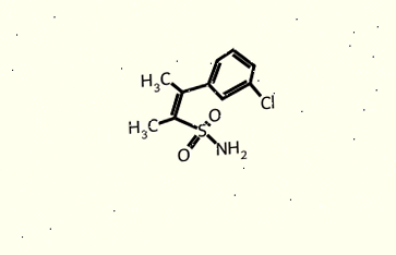 CC(=C(C)S(N)(=O)=O)c1cccc(Cl)c1